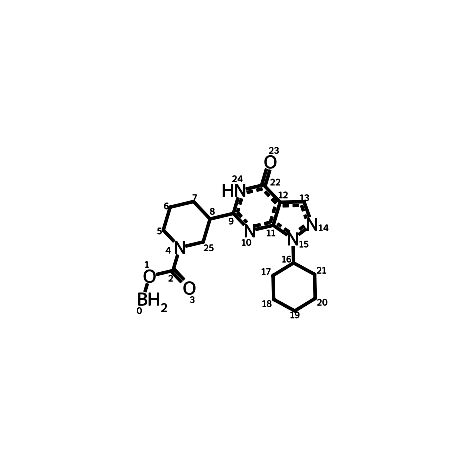 BOC(=O)N1CCCC(c2nc3c(cnn3C3CCCCC3)c(=O)[nH]2)C1